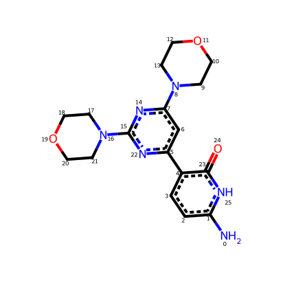 Nc1ccc(-c2cc(N3CCOCC3)nc(N3CCOCC3)n2)c(=O)[nH]1